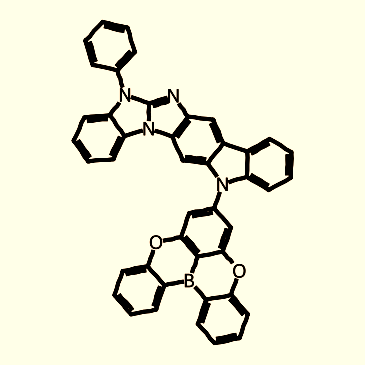 c1ccc(-n2c3ccccc3n3c4cc5c(cc4nc23)c2ccccc2n5-c2cc3c4c(c2)Oc2ccccc2B4c2ccccc2O3)cc1